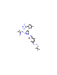 Cn1cnnc1-c1ccc(C#N)cc1-c1cc(NCC2(CC#N)CC2)nc(-n2cc3c(C(F)(F)F)cc(CN4CCC5(CC5)C4)cn3c2=O)c1